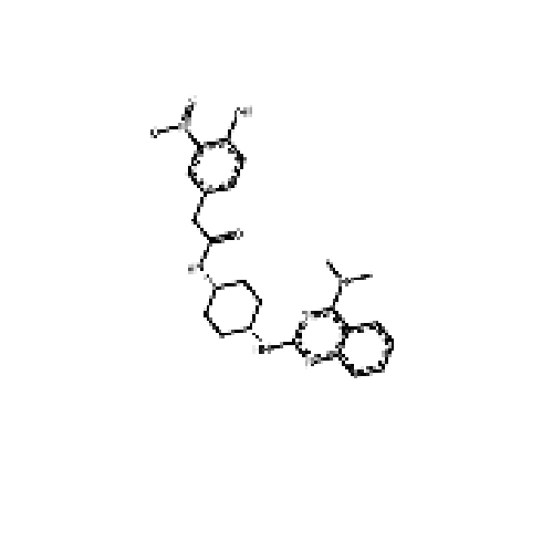 CN(C)c1nc(N[C@H]2CC[C@@H](NC(=O)Cc3ccc(O)c([N+](=O)[O-])c3)CC2)nc2ccccc12